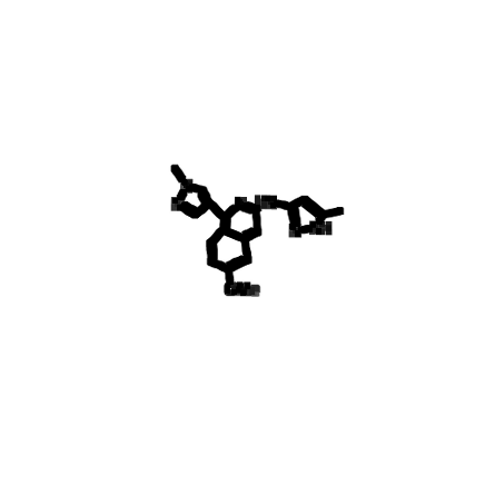 COc1ccc2c(-c3cnn(C)c3)nc(Nc3cc(C)[nH]n3)cc2c1